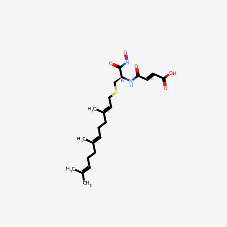 CC(C)=CCC/C(C)=C/CC/C(C)=C/CSC[C@H](NC(=O)/C=C/C(=O)O)C(=O)N=O